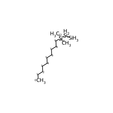 CCCCCCCCCC[Si](C)(C)[SiH2][SiH3]